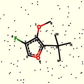 COc1c(F)coc1C(C)(C)C